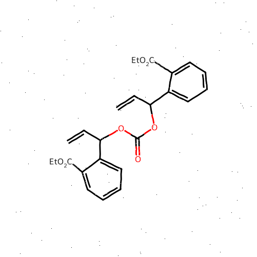 C=CC(OC(=O)OC(C=C)c1ccccc1C(=O)OCC)c1ccccc1C(=O)OCC